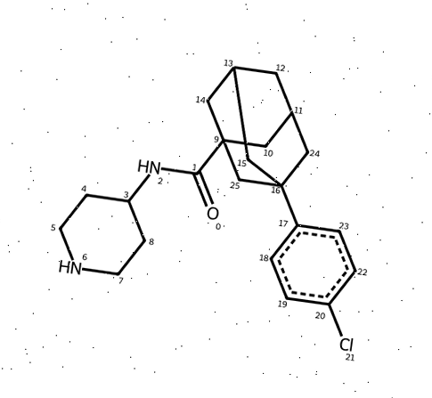 O=C(NC1CCNCC1)C12CC3CC(C1)CC(c1ccc(Cl)cc1)(C3)C2